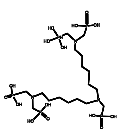 O=P(O)(O)CN(CCCCCCN(CP(=O)(O)O)CP(=O)(O)O)CCCCCCN(CP(=O)(O)O)C[PH](O)(O)O